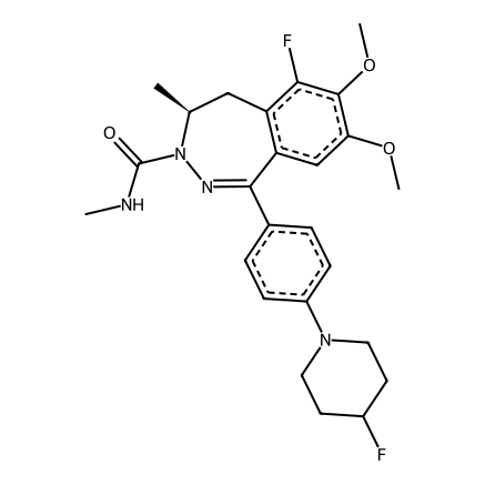 CNC(=O)N1N=C(c2ccc(N3CCC(F)CC3)cc2)c2cc(OC)c(OC)c(F)c2C[C@@H]1C